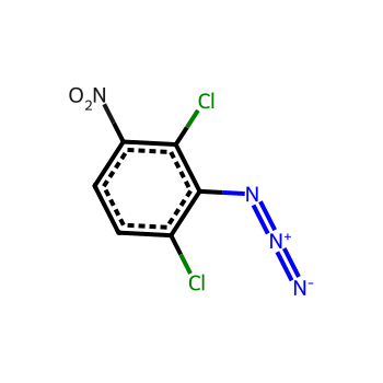 [N-]=[N+]=Nc1c(Cl)ccc([N+](=O)[O-])c1Cl